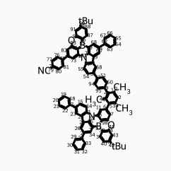 Cc1cc(C)c(-c2cc3c4c(c2)-n2c5ccc(-c6ccccc6)cc5c5cc(-c6ccccc6)cc(c52)B4c2ccc(C(C)(C)C)cc2O3)c(C)c1-c1ccc(-c2ccc3c(c2)c2cc(-c4ccccc4)cc4c2n3-c2cc(-c3ccc(C#N)cc3)cc3c2B4c2ccc(C(C)(C)C)cc2O3)cc1